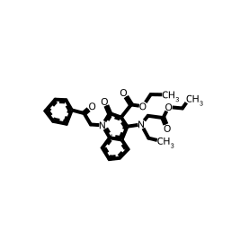 CCOC(=O)CN(CC)c1c(C(=O)OCC)c(=O)n(CC(=O)c2ccccc2)c2ccccc12